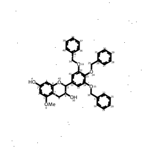 COc1cc(O)cc2c1CC(O)C(c1cc(OCc3ccccc3)c(OCc3ccccc3)c(OCc3ccccc3)c1)O2